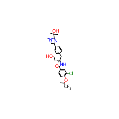 CC(Oc1ccc(C(=O)N[C@H](CCO)Cc2ccc(-c3cn(C)c(C(C)(C)O)n3)cc2)cc1Cl)C(F)(F)F